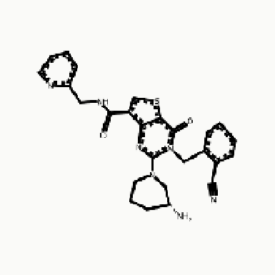 N#Cc1ccccc1Cn1c(N2CCC[C@@H](N)C2)nc2c(C(=O)NCc3ccccn3)csc2c1=O